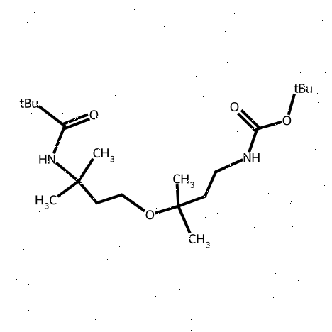 CC(C)(CCOC(C)(C)CCNC(=O)OC(C)(C)C)NC(=O)C(C)(C)C